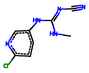 CN/C(=N\C#N)Nc1ccc(Cl)nc1